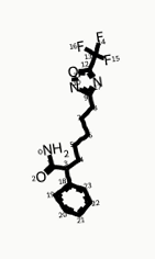 NC(=O)C(CCCCCc1noc(C(F)(F)F)n1)c1ccccc1